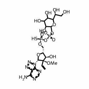 C=C[C@@]1(OC)[C@H](O)[C@@H](COP(=O)(S)OP(=O)(O)OC2OC([C@@H](O)CO)C(O)C(O)C2O)O[C@H]1n1nnc2c(N)ncnc21